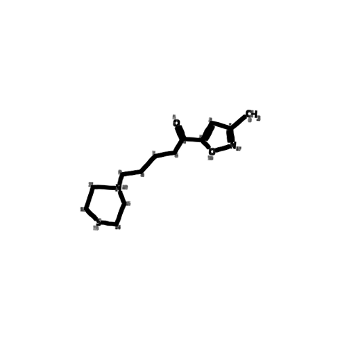 Cc1cc(C(=O)CCCCN2CCSCC2)on1